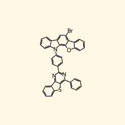 Brc1cc2c3ccccc3n(-c3ccc(-c4nc(-c5ccccc5)c5sc6ccccc6c5n4)cc3)c2c2oc3ccccc3c12